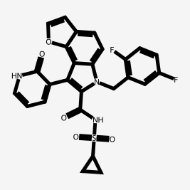 O=C(NS(=O)(=O)C1CC1)c1c(-c2ccc[nH]c2=O)c2c3occc3ccc2n1Cc1cc(F)ccc1F